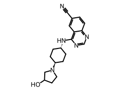 N#Cc1ccc2ncnc(N[C@H]3CC[C@H](N4CCC(O)C4)CC3)c2c1